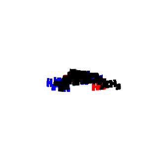 CC(O)CON=C1CCN(c2ncc(-c3cccc(COC(=O)NC(=N)N)c3F)cn2)CC1